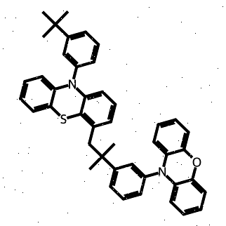 CC(C)(C)c1cccc(N2c3ccccc3Sc3c(CC(C)(C)c4cccc(N5c6ccccc6Oc6ccccc65)c4)cccc32)c1